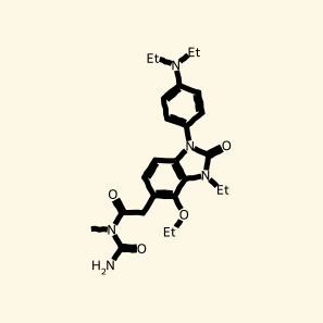 CCOc1c(CC(=O)N(C)C(N)=O)ccc2c1n(CC)c(=O)n2-c1ccc(N(CC)CC)cc1